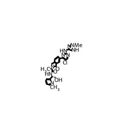 CN/N=C(\C=N)Nc1ncc(Cl)c(-c2ccc3c(c2)C(=O)N([C@H](C)C(=O)N[C@H](CO)c2cccc(C)n2)C3)n1